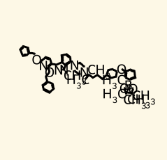 Cc1c(OC2CCC(CCCC(C)(C)N3CCN(c4cccc5c(-c6ccc(OCc7ccccc7)nc6OCc6ccccc6)nn(C)c45)CC3)CC2)cccc1B1OC(C)(C)C(C)(C)O1